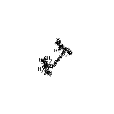 CCN(c1cc(-c2ccc(OCCOCCOCCOCCOCCOc3cc(-c4scnc4C)ccc3CCC(=O)C3C[C@@H](O)CN3C(=O)CN3Cc4ccccc4C3=O)cc2)cc(C(=O)NCc2c(C)cc(C)[nH]c2=O)c1C)C1CCOCC1